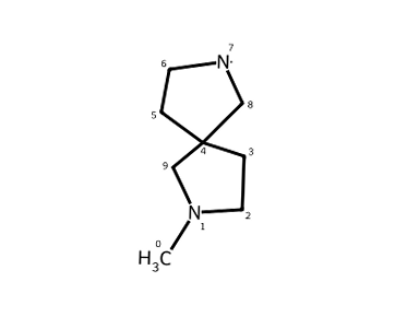 CN1CCC2(CC[N]C2)C1